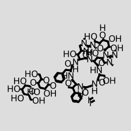 C/N=C1/N(C)CC(C(O)C2NC(=O)C(Cc3ccc(OC4OC(CO)C(OC5OC(CO)C(O)C(O)C5O)C(O)C4O)cc3)NC(=O)C(C(C)c3ccccc3)NC(=O)CNC(=O)C(CO)NC(=O)C(C(O)C3CN(C)/C(=N/C)N3C3OC(CO)C(O)C(O)C3O)NC2=O)N1C.CI.CI